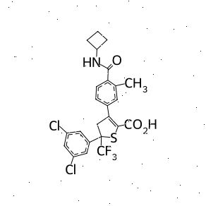 Cc1cc(C2=C(C(=O)O)SC(c3cc(Cl)cc(Cl)c3)(C(F)(F)F)C2)ccc1C(=O)NC1CCC1